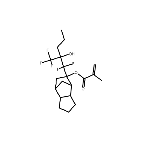 C=C(C)C(=O)OC1(C(F)(F)C(O)(CCC)C(F)(F)F)CC2CC1C1CCCC21